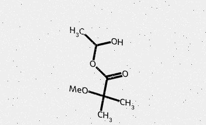 COC(C)(C)C(=O)OC(C)O